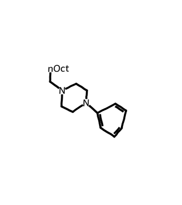 CCCCCCCCCN1CCN(c2ccccc2)CC1